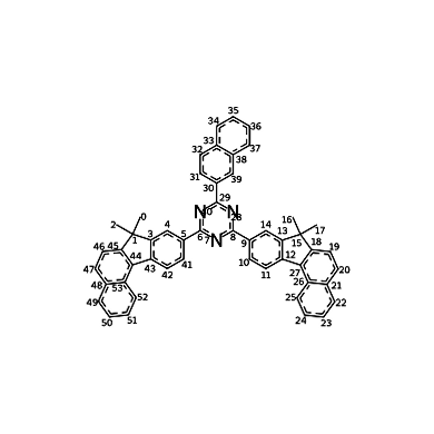 CC1(C)c2cc(-c3nc(-c4ccc5c(c4)C(C)(C)c4ccc6ccccc6c4-5)nc(-c4ccc5ccccc5c4)n3)ccc2-c2c1ccc1ccccc21